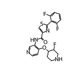 O=C(Nc1cnccc1OC1CCNCC1F)c1csc(-c2c(F)cccc2F)n1